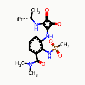 CC(C)[C@H](C)Nc1c(Nc2cccc(C(=O)N(C)C)c2NS(C)(=O)=O)c(=O)c1=O